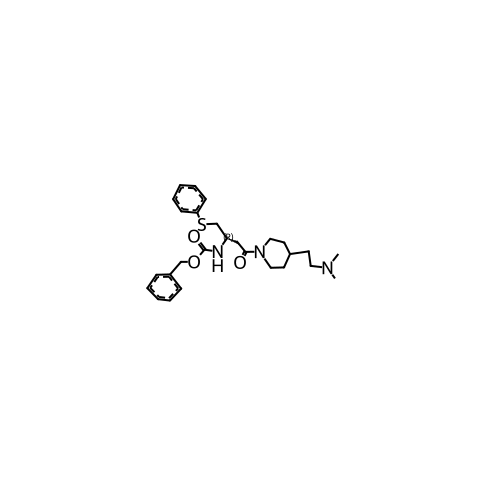 CN(C)CCC1CCN(C(=O)C[C@H](CSc2ccccc2)NC(=O)OCc2ccccc2)CC1